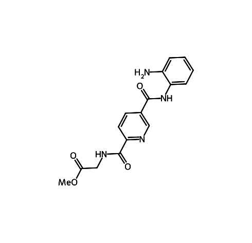 COC(=O)CNC(=O)c1ccc(C(=O)Nc2ccccc2N)cn1